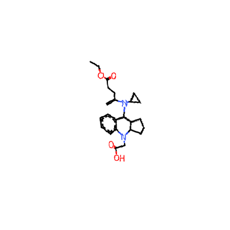 C=C(CCC(=O)OCC)N(C1CC1)C1c2ccccc2N(CC(=O)O)C2CCCC21